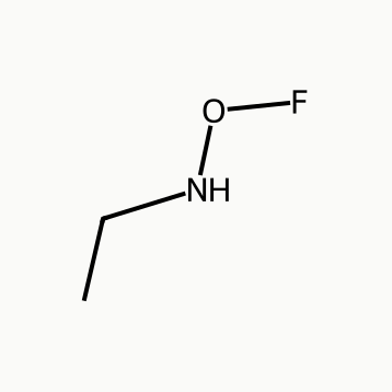 CCNOF